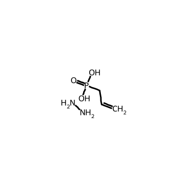 C=CCP(=O)(O)O.NN